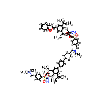 CC(C)c1cc(-c2ccc(C3CCC(CN(C)Cc4ccc(S(=O)(=O)NC(=O)Cc5c(C(C)C)cc(-c6cc7ccccc7o6)cc5C(C)C)cc4)CC3)cc2)cc(C(C)C)c1CC(=O)NS(=O)(=O)c1ccc(CN(C)C)cc1